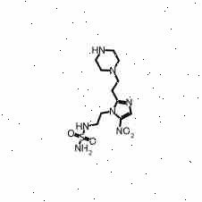 NS(=O)(=O)NCCn1c([N+](=O)[O-])cnc1CCN1CCNCC1